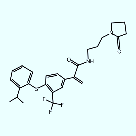 C=C(C(=O)NCCCN1CCCC1=O)c1ccc(Sc2ccccc2C(C)C)c(C(F)(F)F)c1